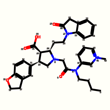 CCCCN(C(=O)CN1C[C@H](c2ccc3c(c2)CCO3)[C@@H](C(=O)O)[C@@H]1CCN1C(=O)Cc2ccccc21)c1ccc[n+](C)c1